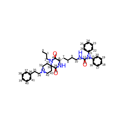 CCCN1C(=O)[C@H](CCCCNC(=O)N(c2ccccc2)c2ccccc2)NC(=O)C12CCN(CCc1ccccc1)CC2